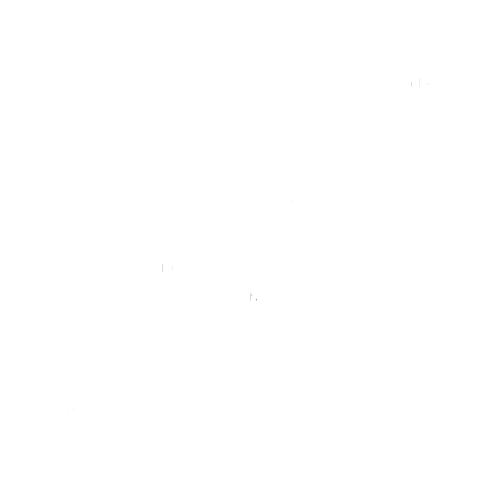 CCCCCCCCCCCCC/C=C/C(O)C(N)COC(=O)CCCCCCCCCCCCCCC